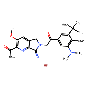 Br.CCOc1cc2c(nc1C(=O)NC)C(=N)N(CC(=O)c1cc(N(C)C)c(OC)c(C(C)(C)OC)c1)C2